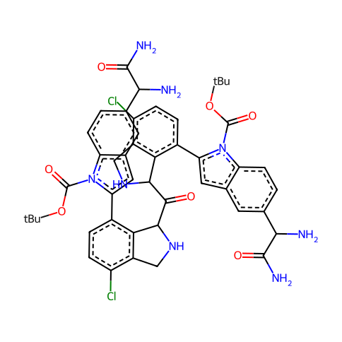 CC(C)(C)OC(=O)n1c(-c2ccc(Cl)c3c2C(C(=O)C2NCc4c(Cl)ccc(-c5cc6cc(C(N)C(N)=O)ccc6n5C(=O)OC(C)(C)C)c42)NC3)cc2cc(C(N)C(N)=O)ccc21